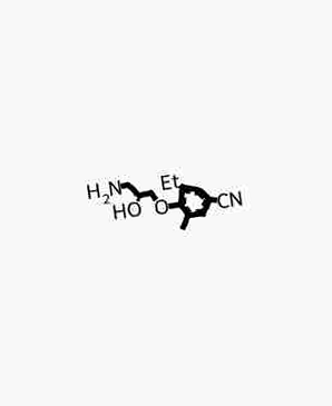 CCc1cc(C#N)cc(C)c1OC[C@@H](O)CN